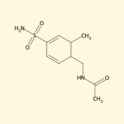 CC(=O)NCC1C=CC(S(N)(=O)=O)=CC1C